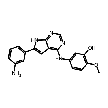 COc1ccc(Nc2ncnc3[nH]c(-c4cccc(N)c4)cc23)cc1O